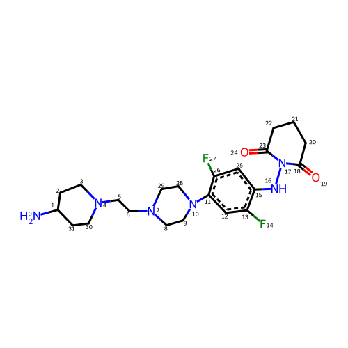 NC1CCN(CCN2CCN(c3cc(F)c(NN4C(=O)CCCC4=O)cc3F)CC2)CC1